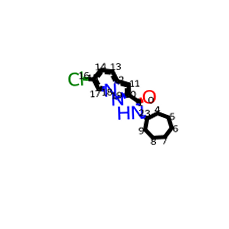 O=C(NC1CCCCCC1)c1cc2ccc(Cl)cn2n1